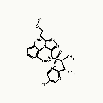 COc1cccc(OC)c1-n1c(CCOC(C)C)nnc1NS(=O)(=O)[C@@H](C)[C@H](C)c1ncc(Cl)cn1